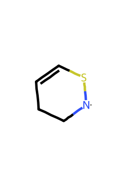 C1=CS[N]CC1